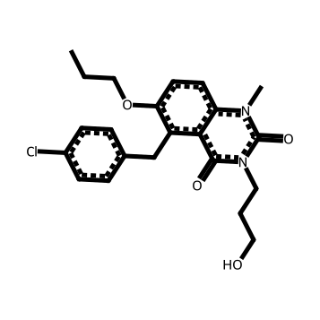 CCCOc1ccc2c(c1Cc1ccc(Cl)cc1)c(=O)n(CCCO)c(=O)n2C